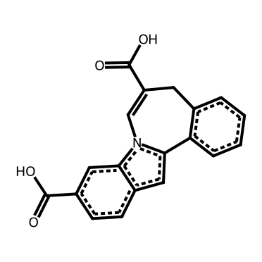 O=C(O)C1=Cn2c(cc3ccc(C(=O)O)cc32)-c2ccccc2C1